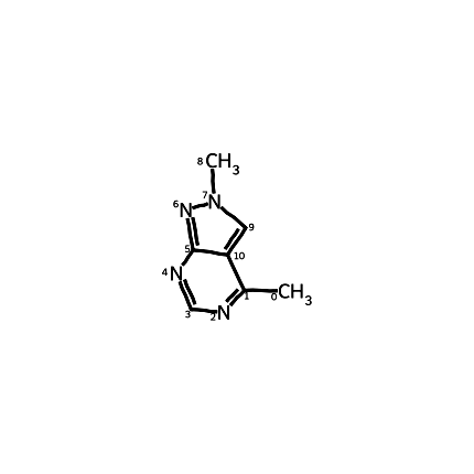 Cc1ncnc2nn(C)cc12